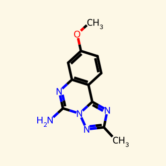 COc1ccc2c(c1)nc(N)n1nc(C)nc21